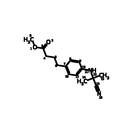 COC(=O)CCCc1ccc(NC(C)(C)C#N)cc1